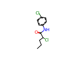 CCCC(Cl)C(=O)Nc1ccc(Cl)cc1